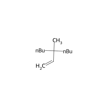 C=CC(C)(CCCC)CCCC